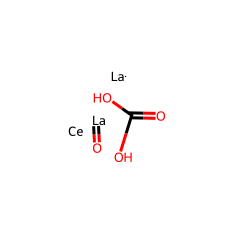 O=C(O)O.[Ce].[La].[O]=[La]